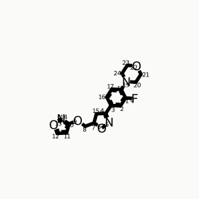 Fc1cc(C2=NOC(COc3ccon3)C2)ccc1N1CCOCC1